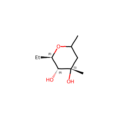 CC[C@H]1OC(C)C[C@](C)(O)[C@@H]1O